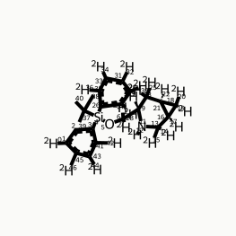 [2H]c1cc([Si](OC([2H])([2H])[C@@]2([2H])N([2H])C([2H])([2H])[C@]3([2H])C([2H])([2H])[C@]3([2H])C2([2H])[2H])(c2c([2H])c([2H])c([2H])c([2H])c2[2H])C(C)(C)C)c([2H])c([2H])c1[2H]